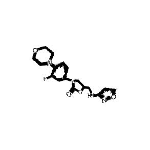 O=C1OC(CNc2ccon2)CN1c1ccc(N2CCOCC2)c(F)c1